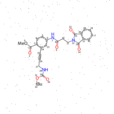 COC(=O)c1ccc(NC(=O)CCN2C(=O)c3ccccc3C2=O)cc1C#CCNC(=O)OC(C)(C)C